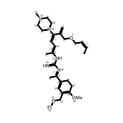 C=C(COC/C=C\C)/C(=C\C=C(/C)NC(=N)/N=C(\C)C1=CC(COCC)=C(OC)CC1)N1CCN(C)CC1